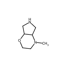 CN1CCOC2CNCC21